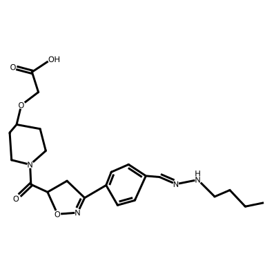 CCCCNN=Cc1ccc(C2=NOC(C(=O)N3CCC(OCC(=O)O)CC3)C2)cc1